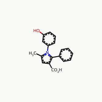 Cc1cc(C(=O)O)c(-c2ccccc2)n1-c1cccc(O)c1